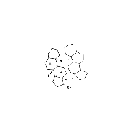 C[C@@]12CCCC1C1CCC3CCCC[C@]3(C)C1CC2.C[C@]12CCCCC1CC[C@@H]1[C@@H]2CC[C@]2(C)C(O)CC[C@@H]12